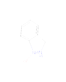 [O-][NH+]1NCc2ccccc21